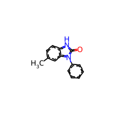 Cc1ccc2[nH]c(=O)n(-c3ccccc3)c2c1